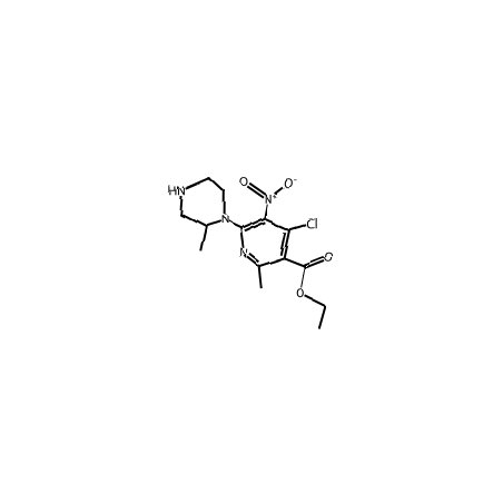 CCOC(=O)c1c(C)nc(N2CCNCC2C)c([N+](=O)[O-])c1Cl